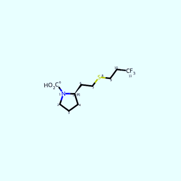 O=C(O)N1CCC[C@@H]1CCSCCC(F)(F)F